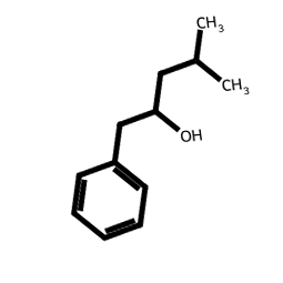 CC(C)CC(O)Cc1ccccc1